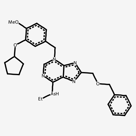 CC[AsH]c1ncn(Cc2ccc(OC)c(OC3CCCC3)c2)c2nc(COCc3ccccc3)nc1-2